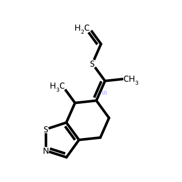 C=CS/C(C)=C1/CCc2cnsc2C1C